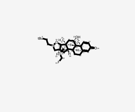 CC(C)(C)CCN1C[C@@H]2C[C@H]3[C@@H]4CCC5=CC(=O)C=C[C@]5(C)[C@@]4(F)[C@@H](O)C[C@]3(C)[C@]2(C(=O)SCF)O1